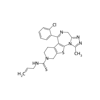 C=CCNC(=S)N1CCc2c(sc3c2C(c2ccccc2Cl)=NCc2nnc(C)n2-3)C1